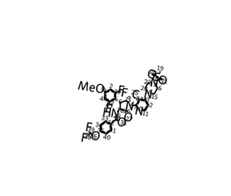 COc1cc(F)c([C@@H]2CN(c3nccc(N4CCN(S(C)(=O)=O)CC4)c3C(F)(F)F)C(=O)[C@H]2NC(=O)c2ccc(OC(F)F)cc2)c(F)c1